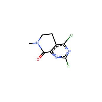 CN1CCc2c(Cl)nc(Cl)nc2C1=O